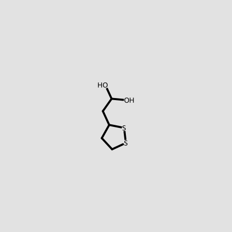 OC(O)CC1CCSS1